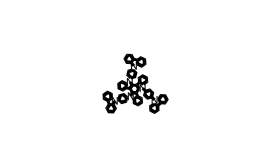 c1ccc2c(c1)c1ccccc1n2-c1ccc(-n2c3ccccc3c3c2c2c4ccccc4n(-c4ccc(-n5c6ccccc6c6ccccc65)cc4)c2c2c4ccccc4n(-c4ccc(-n5c6ccccc6c6ccccc65)cc4)c32)cc1